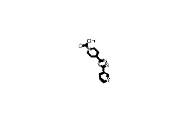 O=C(O)N1CCC(c2nnc(-c3cccnc3)s2)CC1